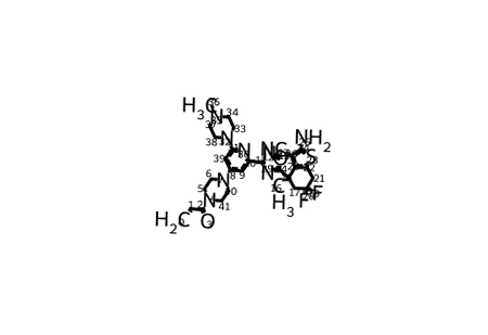 C=CC(=O)N1CCN(c2cc(-c3noc(C4(C)CC(F)(F)Cc5sc(N)c(C#N)c54)n3)nc(N3CCN(C)CC3)c2)CC1